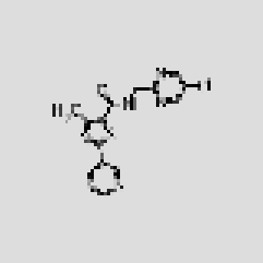 Cc1nc(-c2cccnc2)sc1C(=O)NCc1ncc(Cl)cn1